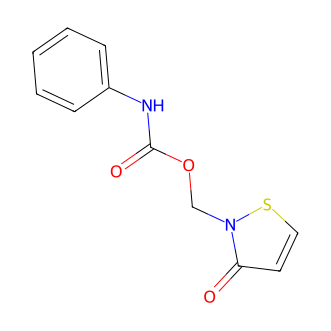 O=C(Nc1ccccc1)OCn1sccc1=O